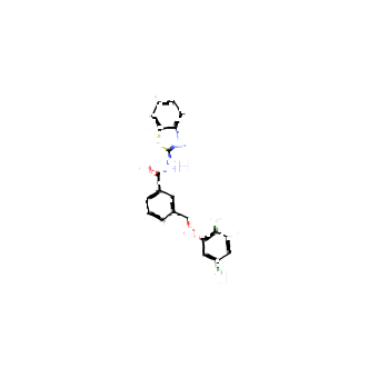 O=C(Nc1nc2ccccc2s1)c1cccc(COc2cc(Cl)ccc2Cl)c1